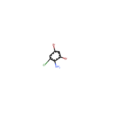 Nc1c(Cl)cc(Br)cc1Br